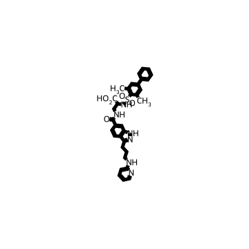 Cc1cc(-c2ccccc2)cc(C)c1S(=O)(=O)NC(CNC(=O)c1ccc2c(CCCNc3ccccn3)n[nH]c2c1)C(=O)O